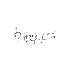 CC(CN1CCC2(CC1)CC2C(=O)NC(=N)/C=C\C(=N)c1cc(F)ccc1Cl)C(C)(C)C